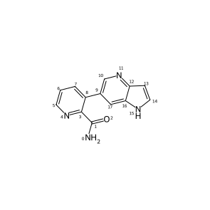 NC(=O)c1ncccc1-c1cnc2cc[nH]c2c1